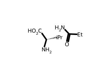 CC(C)[C@H](N)C(=O)O.CCC(N)=O